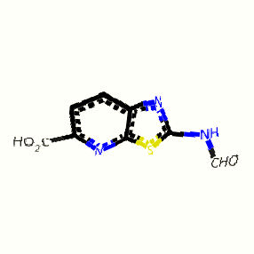 O=CNc1nc2ccc(C(=O)O)nc2s1